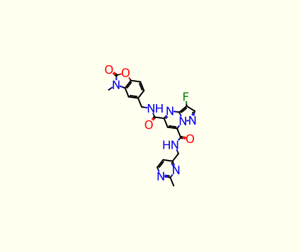 Cc1nccc(CNC(=O)c2cc(C(=O)NCc3ccc4oc(=O)n(C)c4c3)nc3c(F)cnn23)n1